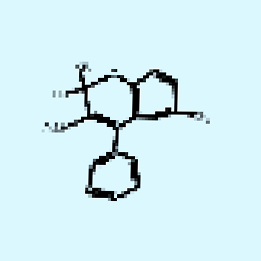 CC(=O)NC1=C(c2ccccc2)c2cc(C)ccc2OC1(O)C(F)(F)F